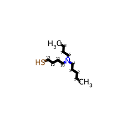 CCCCCN(CCCC)CCCCS